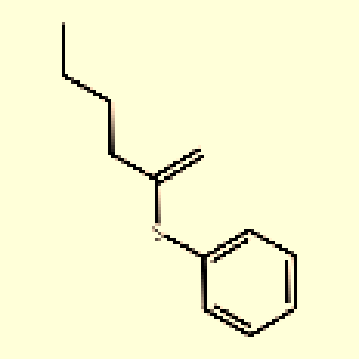 C=C(CCCC)Sc1ccccc1